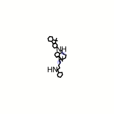 C/C1=C\CCCN(/C=C/CCC(=N)C2CCCCC2)C2=CCCC(NC3CCC4=C(C3)C(C)(C)C3CCCCC43)C21